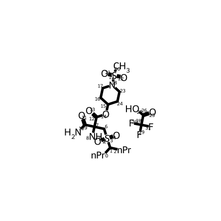 CCCC(CCC)S(=O)(=O)CC(N)(C(N)=O)C(=O)OC1CCN(S(C)(=O)=O)CC1.O=C(O)C(F)(F)F